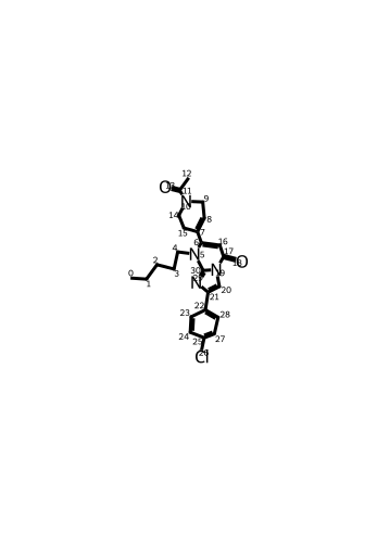 CCCCCn1c(C2=CCN(C(C)=O)CC2)cc(=O)n2cc(-c3ccc(Cl)cc3)nc12